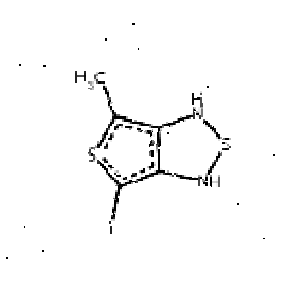 Cc1sc(I)c2c1NSN2